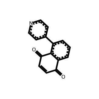 O=C1C=CC(=O)c2c1cccc2-c1ccncc1